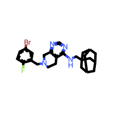 Fc1ccc(Br)cc1CN1CCc2c(ncnc2NCC23CC4CC(CC(C4)C2)C3)C1